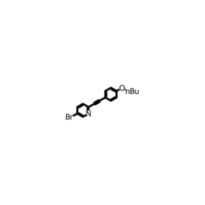 CCCCOc1ccc(C#Cc2ccc(Br)cn2)cc1